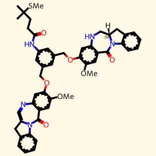 COc1cc2c(cc1OCc1cc(COc3cc4c(cc3OC)C(=O)N3c5ccccc5C[C@H]3CN4)cc(NC(=O)CCC(C)(C)SC)c1)N=C=C1Cc3ccccc3N1C2=O